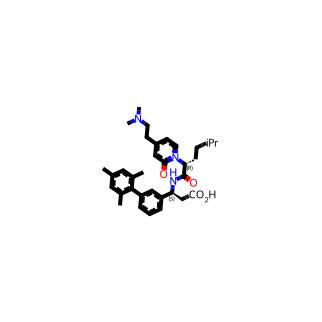 Cc1cc(C)c(-c2cccc([C@H](CC(=O)O)NC(=O)[C@@H](CCC(C)C)n3ccc(CCN(C)C)cc3=O)c2)c(C)c1